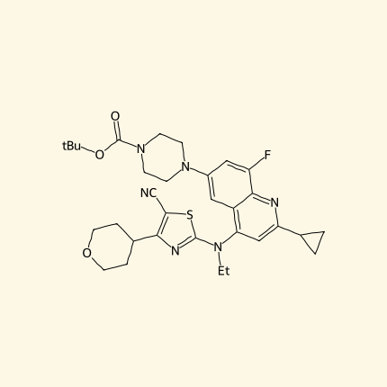 CCN(c1nc(C2CCOCC2)c(C#N)s1)c1cc(C2CC2)nc2c(F)cc(N3CCN(C(=O)OC(C)(C)C)CC3)cc12